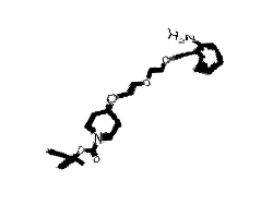 CC(C)(C)OC(=O)N1CCC(OCCOCCOc2ccccc2N)CC1